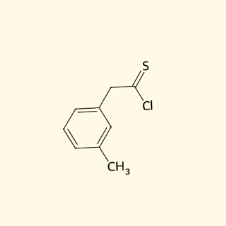 Cc1cccc(CC(=S)Cl)c1